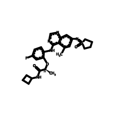 Cc1cc(N=S2(=O)CCCC2)cc2ncnc(Nc3ccc(F)cc3O[C@H](C)C(=O)NC3CCC3)c12